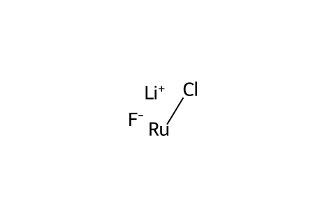 [Cl][Ru].[F-].[Li+]